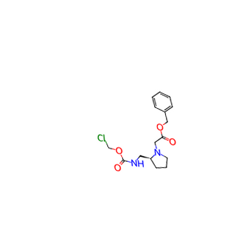 O=C(CN1CCC[C@H]1CNC(=O)OCCl)OCc1ccccc1